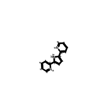 c1ccc(-c2ccc(-c3ccccn3)[nH]2)nc1